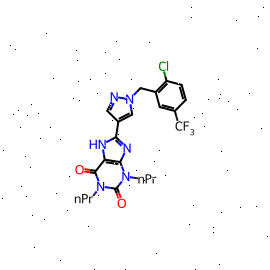 CCCn1c(=O)c2[nH]c(-c3cnn(Cc4cc(C(F)(F)F)ccc4Cl)c3)nc2n(CCC)c1=O